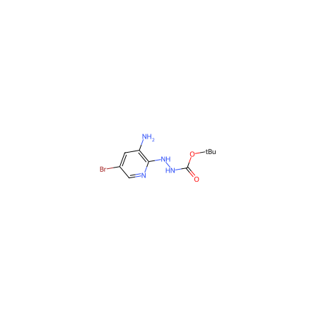 CC(C)(C)OC(=O)NNc1ncc(Br)cc1N